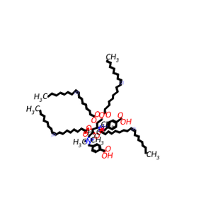 CCCCCCCC/C=C\CCCCCCCC(=O)OCC(OC(=O)CCCCCCC/C=C\CCCCCCCC)C(C(OC(=O)CCCCCCC/C=C\CCCCCCCC)C(C[N+](C)(C)Cc1ccc(C(=O)O)cc1)OC(=O)CCCCCCC/C=C\CCCCCCCC)[N+](C)(C)Cc1ccc(C(=O)O)cc1